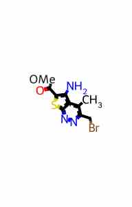 COC(=O)c1sc2nnc(CBr)c(C)c2c1N